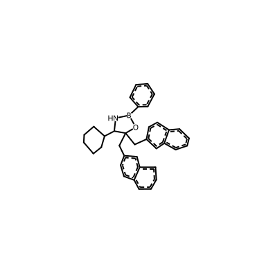 c1ccc(B2NC(C3CCCCC3)C(Cc3ccc4ccccc4c3)(Cc3ccc4ccccc4c3)O2)cc1